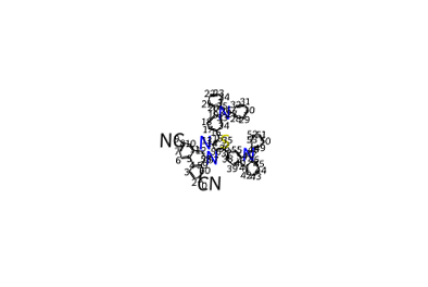 N#Cc1ccc2c3ccc(C#N)cc3c3nc4c(-c5ccc6c7ccccc7n(-c7ccccc7)c6c5)sc(-c5ccc6c7ccccc7n(-c7ccccc7)c6c5)c4nc3c2c1